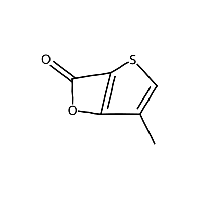 Cc1csc2c1OC2=O